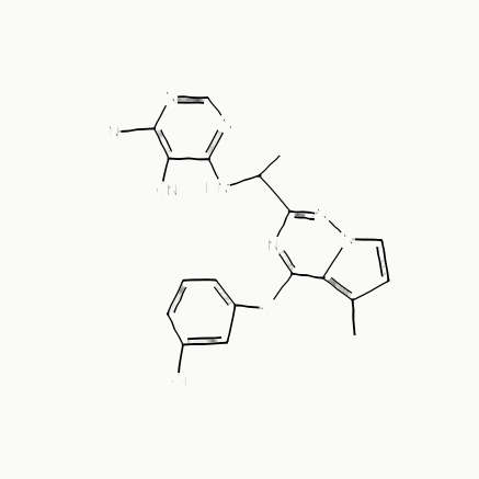 Cc1ccn2nc(C(C)Nc3ncnc(N)c3C#N)nc(Oc3cccc(O)c3)c12